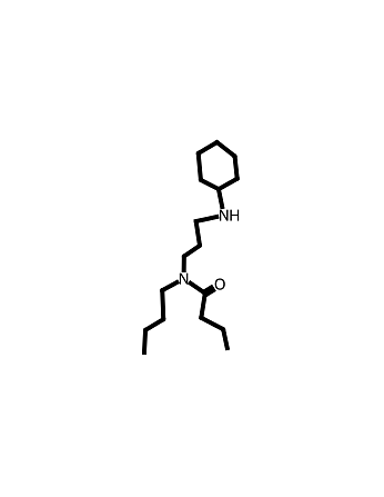 CCCCN(CCCNC1CCCCC1)C(=O)CCC